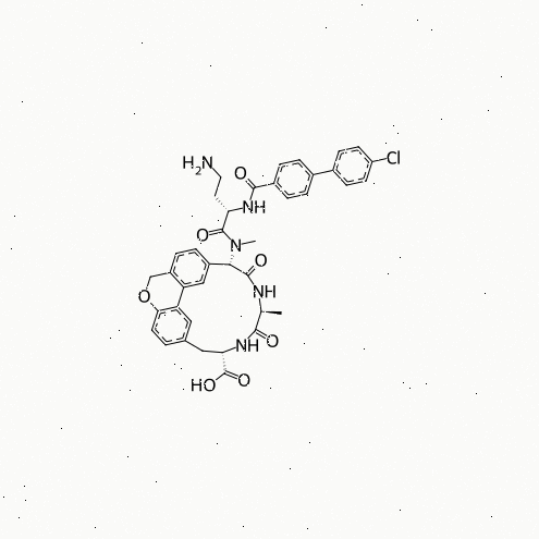 C[C@@H]1NC(=O)[C@@H](N(C)C(=O)[C@H](CCN)NC(=O)c2ccc(-c3ccc(Cl)cc3)cc2)c2ccc3c(c2)-c2cc(ccc2OC3)C[C@@H](C(=O)O)NC1=O